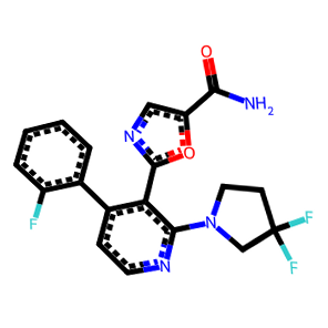 NC(=O)c1cnc(-c2c(-c3ccccc3F)ccnc2N2CCC(F)(F)C2)o1